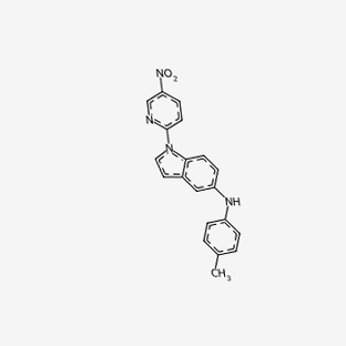 Cc1ccc(Nc2ccc3c(ccn3-c3ccc([N+](=O)[O-])cn3)c2)cc1